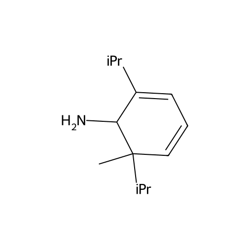 CC(C)C1=CC=CC(C)(C(C)C)C1N